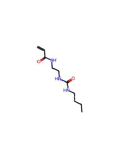 C=CC(=O)NCCNC(=O)NCCCC